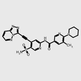 Cc1cc(C(=O)Nc2cc(C#Cc3nnc4cccnn34)c(S(N)(=O)=O)cn2)cnc1N1CCCCC1